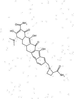 CN(C)[C@@H]1C(O)=C(C(N)=O)C(=O)C2C(O)=C3C(=O)c4c(cc5ccc(CN6CCC6C(N)=O)cc5c4O)CC3CC21